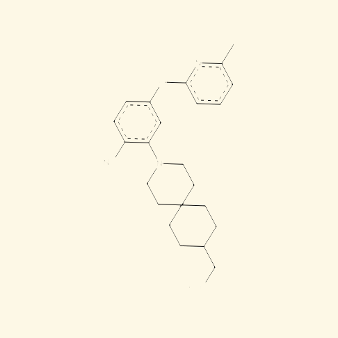 Cc1cccc(Oc2ccc(C#N)c(N3CCC4(CCC(CC(=O)O)CC4)CC3)c2)n1